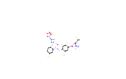 CS(=O)(=O)N=C1CN(C(=O)N(Cc2ccc(-c3nnc(C(F)F)o3)cc2F)c2cccc(F)c2)C1